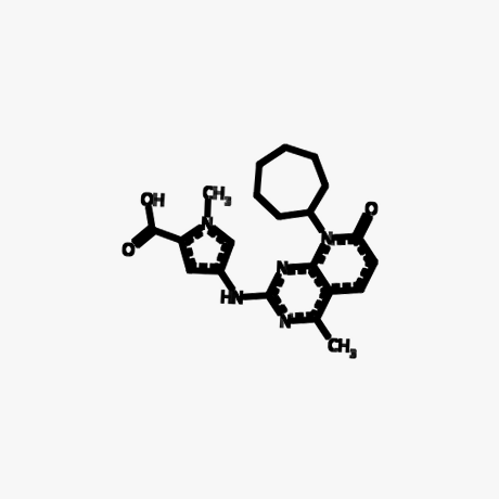 Cc1nc(Nc2cc(C(=O)O)n(C)c2)nc2c1ccc(=O)n2C1CCCCCC1